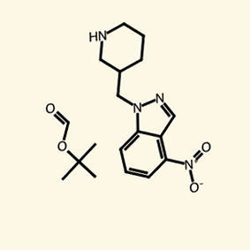 CC(C)(C)OC=O.O=[N+]([O-])c1cccc2c1cnn2CC1CCCNC1